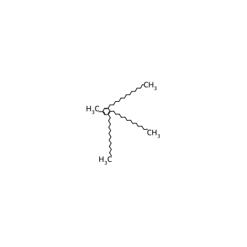 CCCCCCCCCCCCCCc1cc(CC)cc(CCCCCCCCCCCCCC)c1CCCCCCCCCCCCCC